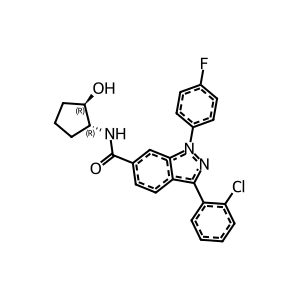 O=C(N[C@@H]1CCC[C@H]1O)c1ccc2c(-c3ccccc3Cl)nn(-c3ccc(F)cc3)c2c1